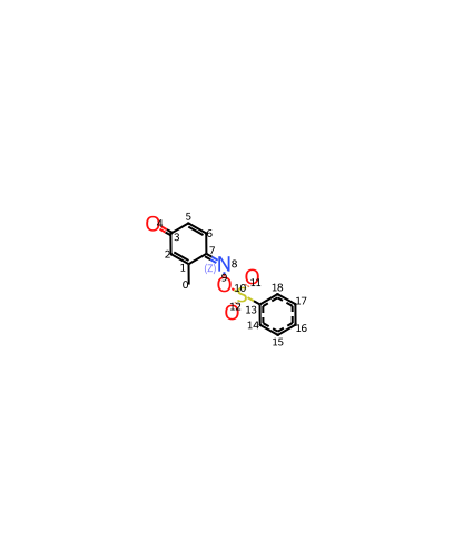 CC1=CC(=O)C=C/C1=N/OS(=O)(=O)c1ccccc1